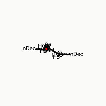 CCCCCCCCCCCCCCCCCCOC(=O)C(S)(CS)CCCCCCCCCC(C(=C=O)CC(O)=S)C(S)(CS)C(=O)OCCCCCCCCCCCCCCCCCC